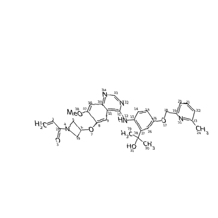 C=CC(=O)N1CC(Oc2cc3c(Nc4ccc(OCc5cccc(C)n5)cc4C(C)(C)O)ncnc3cc2OC)C1